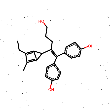 CCC1=C2C(=C1C)C2C(CCCO)=C(c1ccc(O)cc1)c1ccc(O)cc1